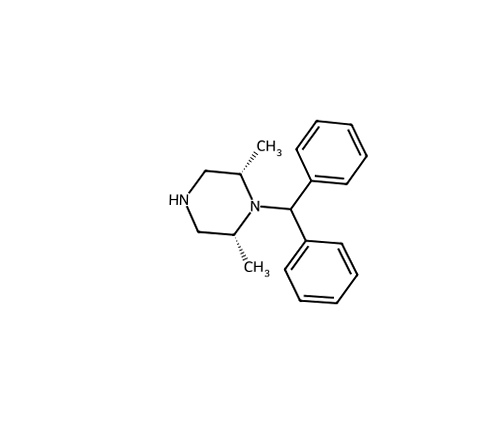 C[C@@H]1CNC[C@H](C)N1C(c1ccccc1)c1ccccc1